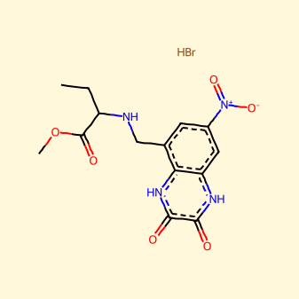 Br.CCC(NCc1cc([N+](=O)[O-])cc2[nH]c(=O)c(=O)[nH]c12)C(=O)OC